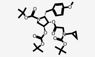 COc1ccc(C[C@@H]2[C@H](OC(=O)CN(C(=O)OC(C)(C)C)C3CC3)[C@@H](OC(=O)OC(C)(C)C)CN2C(=O)OC(C)(C)C)cc1